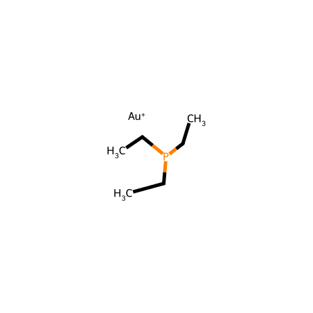 CCP(CC)CC.[Au+]